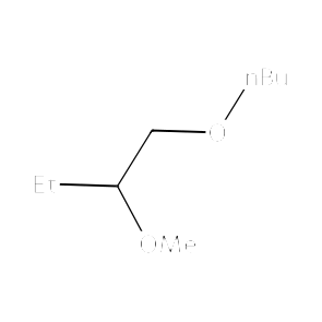 [CH2]CCCOCC(CC)OC